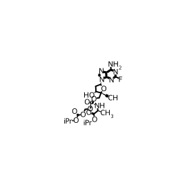 C#C[C@]1(CO[P@](=O)(N[C@@H](C)C(=O)OC(C)C)OCOC(=O)OC(C)C)O[C@@H](n2cnc3c(N)nc(F)nc32)C[C@@H]1O